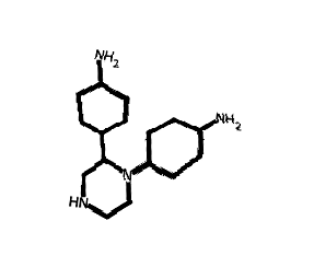 NC1CCC(C2CNCCN2C2CCC(N)CC2)CC1